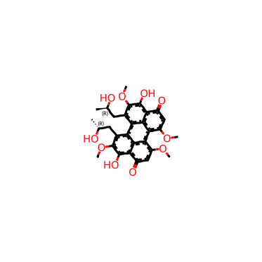 COc1c(O)c2c(=O)cc(OC)c3c4c(OC)cc(=O)c5c(O)c(OC)c(C[C@@H](C)O)c(c(c1C[C@@H](C)O)c23)c54